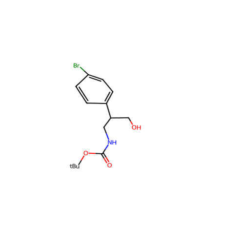 CC(C)(C)OC(=O)NCC(CO)c1ccc(Br)cc1